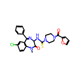 CN1C(=O)C(NC(=S)N2CCN(C(=O)c3ccco3)CC2)N=C(c2ccccc2)c2cc(Cl)ccc21